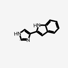 [c]1nc(-c2cc3ccccc3[nH]2)c[nH]1